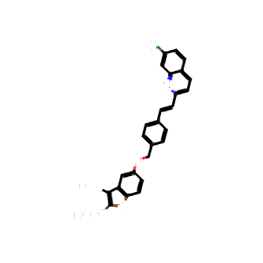 Cc1c(C(=O)O)sc2ccc(OCc3ccc(C=Cc4ccc5ccc(Cl)cc5n4)cc3)cc12